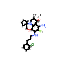 Nc1c(F)c(NCCCc2ccccc2Cl)c2c3c1c(=O)c(C(=O)O)cn3C1(CCCC1)CO2